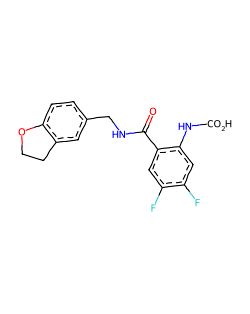 O=C(O)Nc1cc(F)c(F)cc1C(=O)NCc1ccc2c(c1)CCO2